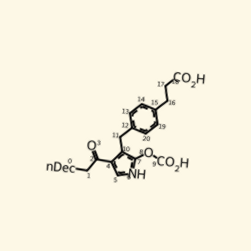 CCCCCCCCCCCC(=O)c1c[nH]c(OC(=O)O)c1Cc1ccc(CCC(=O)O)cc1